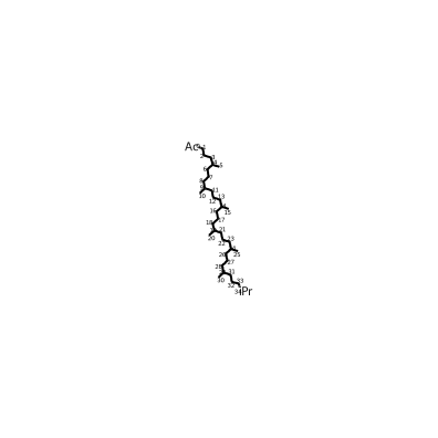 CC(=O)CCCC(C)CCCC(C)CCCC(C)CCCC(C)CCCC(C)CCCC(C)CCCC(C)C